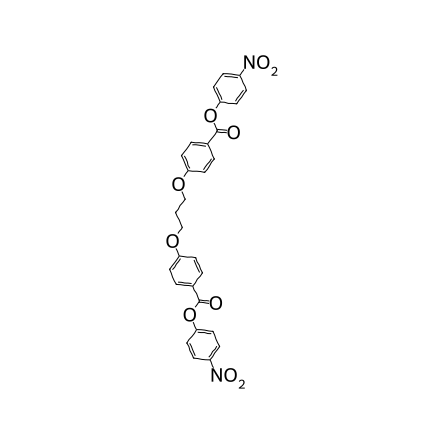 O=C(Oc1ccc([N+](=O)[O-])cc1)c1ccc(OCCCOc2ccc(C(=O)Oc3ccc([N+](=O)[O-])cc3)cc2)cc1